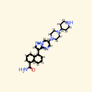 NC(=O)c1cccc2c(-c3cnn4cc(N5CCN(C6CCNCC6)CC5)cnc34)cccc12